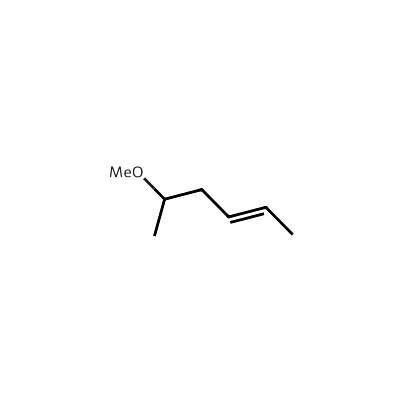 CC=CCC(C)OC